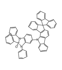 O=P1(c2ccccc2)N(c2ccccc2)c2ccc(-n3c4ccccc4c4ccc5c(c43)-c3ccccc3C53c4ccccc4-c4ccccc43)cc2N1c1ccccc1